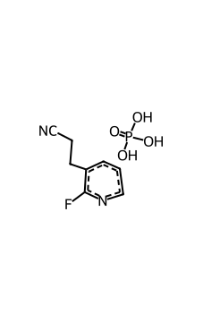 N#CCCc1cccnc1F.O=P(O)(O)O